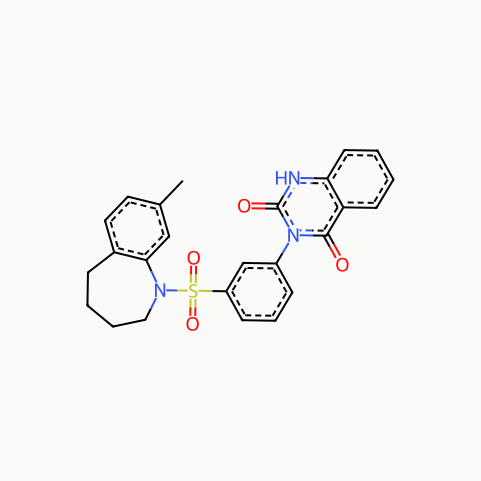 Cc1ccc2c(c1)N(S(=O)(=O)c1cccc(-n3c(=O)[nH]c4ccccc4c3=O)c1)CCCC2